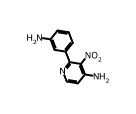 Nc1cccc(-c2nccc(N)c2[N+](=O)[O-])c1